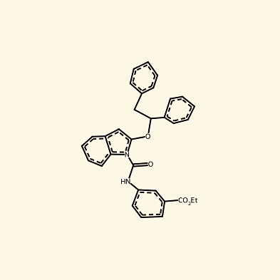 CCOC(=O)c1cccc(NC(=O)n2c(OC(Cc3ccccc3)c3ccccc3)cc3ccccc32)c1